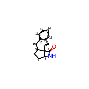 C=CC12C(=O)NC1CCC2Cc1ccccc1